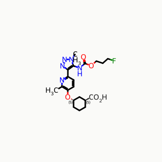 Cc1nc(-c2nnn(C)c2NC(=O)OCCCF)ccc1O[C@H]1CCC[C@H](C(=O)O)C1